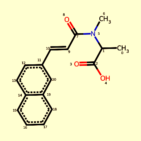 CC(C(=O)O)N(C)C(=O)C=Cc1ccc2ccccc2c1